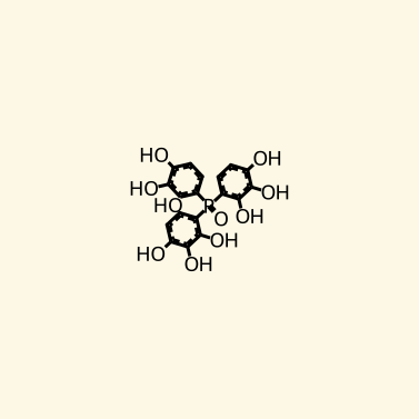 O=P(c1ccc(O)c(O)c1O)(c1ccc(O)c(O)c1O)c1ccc(O)c(O)c1O